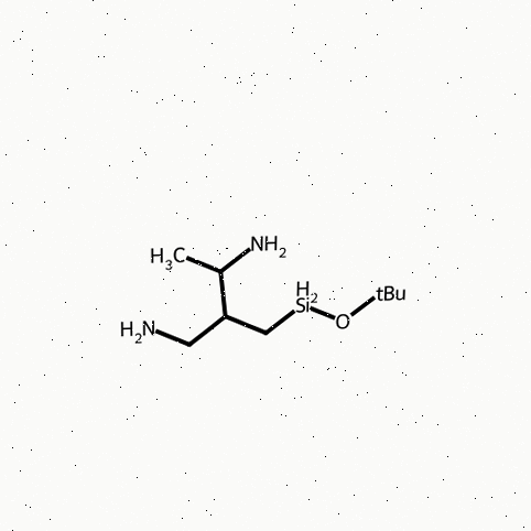 CC(N)C(CN)C[SiH2]OC(C)(C)C